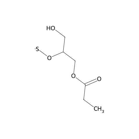 CCC(=O)OCC(CO)O[S]